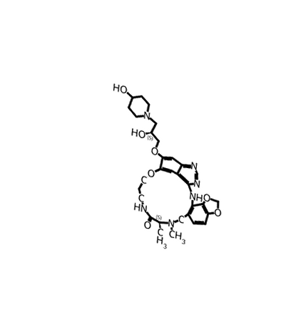 C[C@H]1C(=O)NCCCOc2cc3c(ncnc3cc2OC[C@@H](O)CN2CCC(O)CC2)Nc2c(ccc3c2OCO3)CN1C